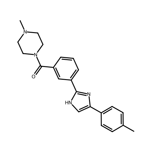 Cc1ccc(-c2c[nH]c(-c3cccc(C(=O)N4CCN(C)CC4)c3)n2)cc1